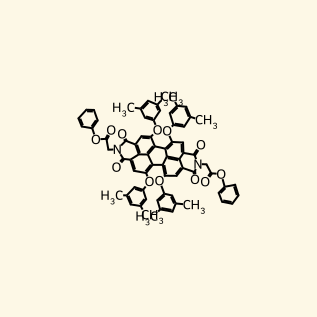 Cc1cc(C)cc(Oc2cc3c4c(cc(Oc5cc(C)cc(C)c5)c5c6c(Oc7cc(C)cc(C)c7)cc7c8c(cc(Oc9cc(C)cc(C)c9)c(c2c45)c86)C(=O)N(CC(=O)Oc2ccccc2)C7=O)C(=O)N(CC(=O)Oc2ccccc2)C3=O)c1